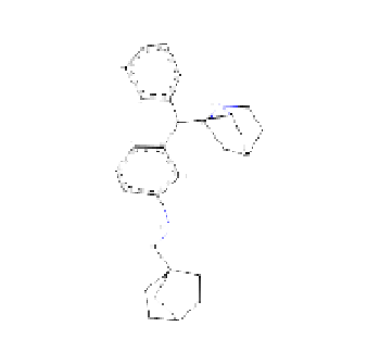 c1ccc(C(c2cccc(NCC34CCC(CC3)C4)c2)C2CC3CCN2CC3)cc1